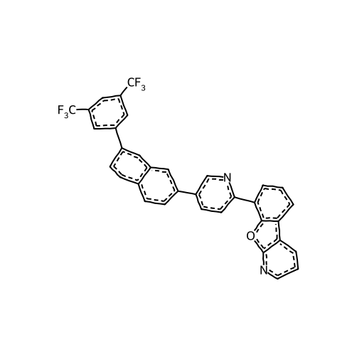 FC(F)(F)c1cc(-c2ccc3ccc(-c4ccc(-c5cccc6c5oc5ncccc56)nc4)cc3c2)cc(C(F)(F)F)c1